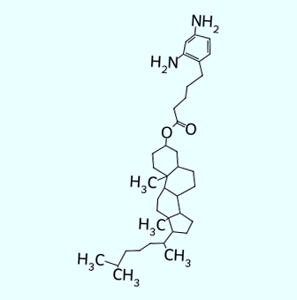 CC(C)CCCC(C)C1CCC2C3CCC4CC(OC(=O)CCCCc5ccc(N)cc5N)CCC4(C)C3CCC12C